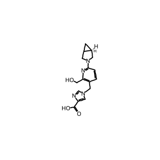 O=C(O)c1cn(Cc2ccc(N3CC4C[C@H]4C3)nc2CO)cn1